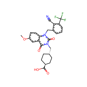 COc1ccc2c(c1)c(=O)n(C[C@H]1CC[C@H](C(=O)O)CC1)c(=O)n2Cc1cccc(C(F)(F)F)c1C#N